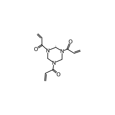 C=CC(=O)N1[CH]N(C(=O)C=C)CN(C(=O)C=C)C1